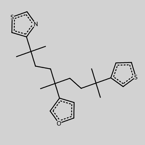 CC(C)(CCC(C)(CCC(C)(C)c1cscn1)c1ccoc1)c1ccsc1